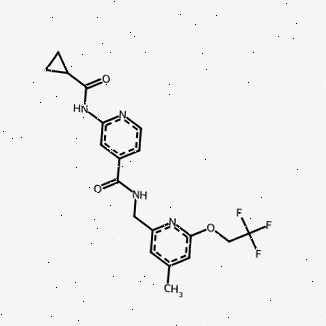 Cc1cc(CNC(=O)c2ccnc(NC(=O)C3CC3)c2)nc(OCC(F)(F)F)c1